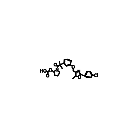 Cc1oc(-c2ccc(Cl)cc2)nc1COc1cccc(C(C)(C)C(=O)N2CCC[C@H]2OC(=O)O)c1